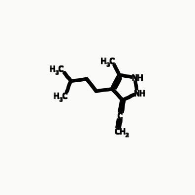 C=C=C1NNC(C)=C1CCC(C)C